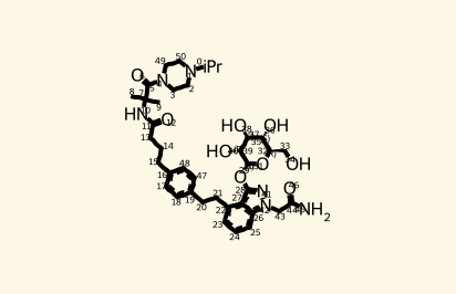 CC(C)N1CCN(C(=O)C(C)(C)NC(=O)CCCc2ccc(CCc3cccc4c3c(O[C@@H]3O[C@H](CO)[C@@H](O)[C@H](O)[C@H]3O)nn4CC(N)=O)cc2)CC1